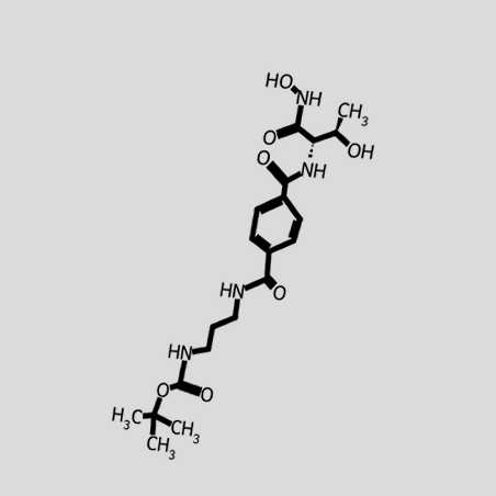 C[C@@H](O)[C@H](NC(=O)c1ccc(C(=O)NCCCNC(=O)OC(C)(C)C)cc1)C(=O)NO